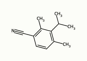 Cc1ccc(C#N)c(C)c1C(C)C